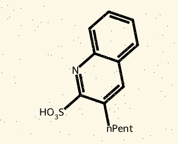 CCCCCc1cc2ccccc2nc1S(=O)(=O)O